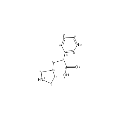 O=C(O)C(CC1CCNC1)c1cncnc1